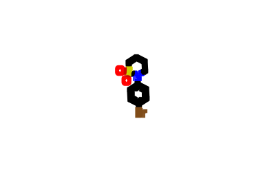 O=S1(=O)CCCCN1c1ccc(Br)cc1